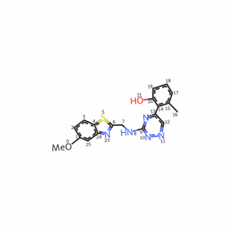 COc1ccc2sc(CNc3nncc(-c4c(C)cccc4O)n3)nc2c1